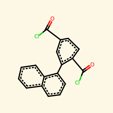 O=C(Cl)c1ccc(C(=O)Cl)c(-c2cccc3ccccc23)c1